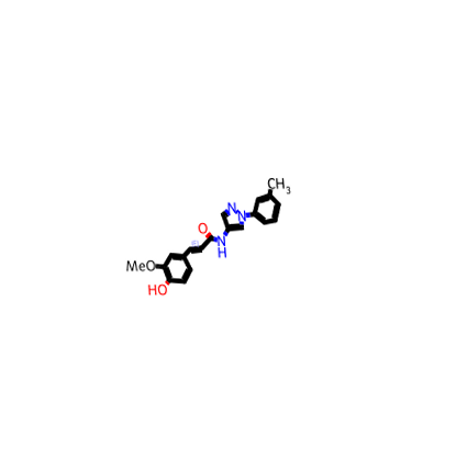 COc1cc(/C=C/C(=O)Nc2cnn(-c3cccc(C)c3)c2)ccc1O